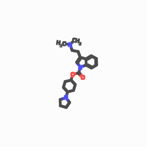 CN(C)CCc1cn(C(=O)OC2CCC(N3CCCC3)CC2)c2ccccc12